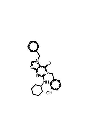 O=c1c2c(ncn2Cc2ccccc2)nc(N[C@@H]2CCCC[C@H]2O)n1Cc1ccccc1